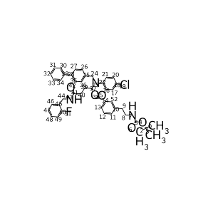 CC(C)(C)OC(=O)NCCc1cccc(Oc2cc(Cl)ccc2N(Cc2ccc(-c3ccccc3)cc2)C(=O)CCC(=O)NCc2ccccc2F)c1